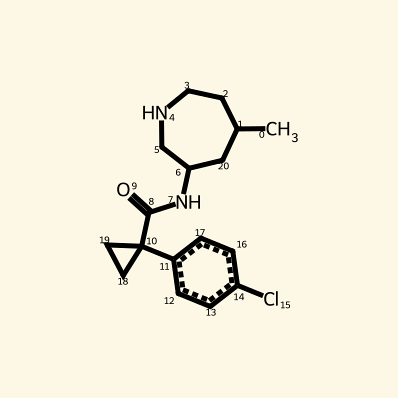 CC1CCNCC(NC(=O)C2(c3ccc(Cl)cc3)CC2)C1